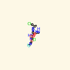 CC1(C)CCC(CN2CCN(c3ccc(C(=O)NS(=O)(=O)c4cnc(OC[C@@H]5CCN(C(CF)CF)C5)c(Cl)c4)c(Oc4cnc5[nH]ccc5c4)c3)CC2)=C(c2ccc(Cl)cc2)C1